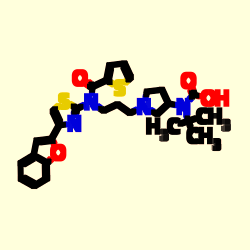 CC(C)(C)N(C(=O)O)C1CCN(CCCN(C(=O)c2cccs2)c2nc(-c3cc4ccccc4o3)cs2)C1